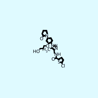 Cc1c(CNC(=O)c2ccc(Cl)s2)nnn1-c1ccc(-n2ccccc2=O)cc1OCCCO